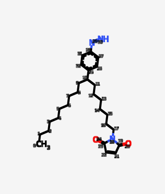 CCCCCCCCCCC(CCCCCCCN1C(=O)C=CC1=O)c1ccc(N=N)cc1